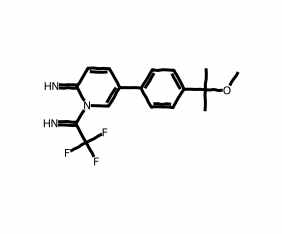 COC(C)(C)c1ccc(-c2ccc(=N)n(C(=N)C(F)(F)F)c2)cc1